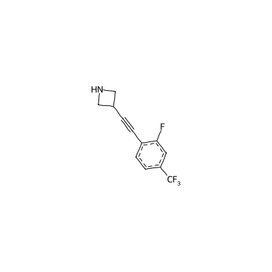 Fc1cc(C(F)(F)F)ccc1C#CC1CNC1